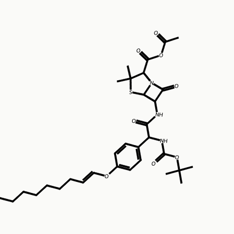 CCCCCCCC/C=C/Oc1ccc(C(NC(=O)OC(C)(C)C)C(=O)NC2C(=O)N3C2SC(C)(C)C3C(=O)OC(C)=O)cc1